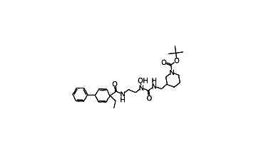 CCC1(C(=O)NCCN(O)C(=O)NCC2CCCN(C(=O)OC(C)(C)C)C2)C=CC(c2ccccc2)C=C1